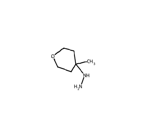 CC1(NN)CCOCC1